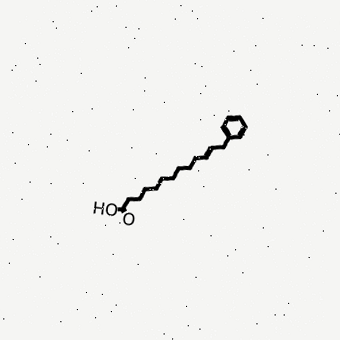 O=C(O)CCCCCCCCC/C=C/Cc1ccccc1